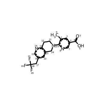 Cc1cc(C(=O)O)cnc1N1CCc2ncc(CC(F)(F)F)cc2C1